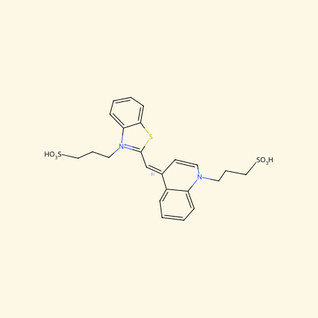 O=S(=O)(O)CCCN1C=C/C(=C\c2sc3ccccc3[n+]2CCCS(=O)(=O)O)c2ccccc21